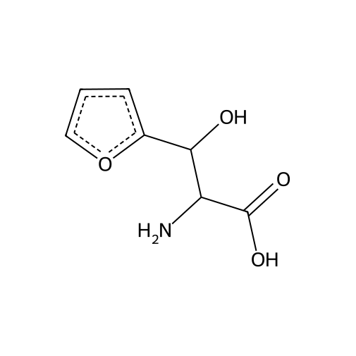 NC(C(=O)O)C(O)c1ccco1